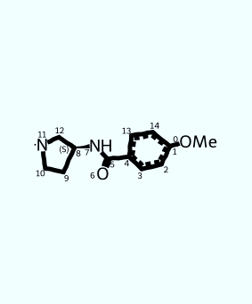 COc1ccc(C(=O)N[C@H]2CC[N]C2)cc1